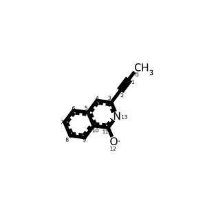 CC#Cc1cc2ccccc2c([O])n1